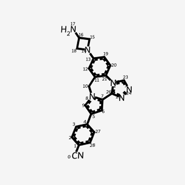 N#Cc1ccc(-c2cc3n(c2)Cc2cc(N4CC(N)C4)ccc2-n2cnnc2-3)cc1